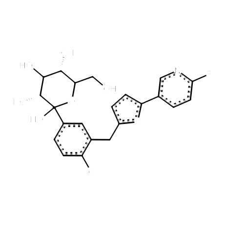 OCC1OC(O)(c2ccc(Cl)c(Cc3ccc(-c4ccc(F)nc4)s3)c2)[C@H](O)C(O)[C@@H]1O